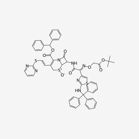 CC(C)(C)OC(=O)CON=C(C(=O)NC1C(=O)N2C(C(=O)OC(c3ccccc3)c3ccccc3)=C(C=CSc3ncccn3)C[S+]([O-])C12)c1csc(NC(c2ccccc2)(c2ccccc2)c2ccccc2)n1